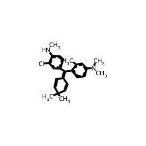 CNc1ccc(C(=C2C=CC(C)(C)C=C2)c2ccc(N(C)C)cc2C)cc1Cl